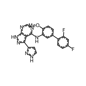 COc1ccc(-c2ccc(F)cc2F)cc1Nc1ncnc2[nH]nc(-c3cc[nH]n3)c12